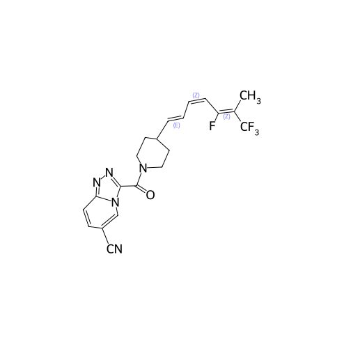 C\C(=C(F)/C=C\C=C\C1CCN(C(=O)c2nnc3ccc(C#N)cn23)CC1)C(F)(F)F